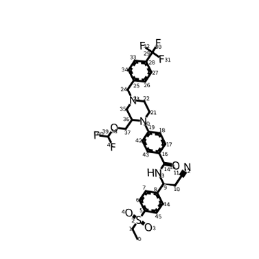 CCS(=O)(=O)c1ccc([C@H](CC#N)NC(=O)c2ccc(N3CCN(Cc4ccc(C(F)(F)F)cc4)CC3COC(F)F)cc2)cc1